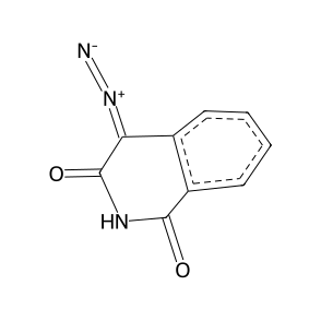 [N-]=[N+]=C1C(=O)NC(=O)c2ccccc21